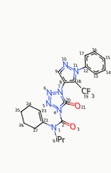 CC(C)N(C(=O)n1nnn(-c2cnn(-c3ccccc3)c2C(F)(F)F)c1=O)C1=CCCCC1